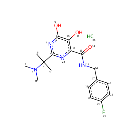 CN(C)C(C)(C)c1nc(O)c(O)c(C(=O)NCc2ccc(F)cc2)n1.Cl